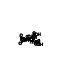 O=C[C@@H]1C[C@H](C=O)C[C@H](C(=O)N[C@H](CC(=O)NCS(=O)(=O)O)C(=O)NCS(=O)(=O)O)C1